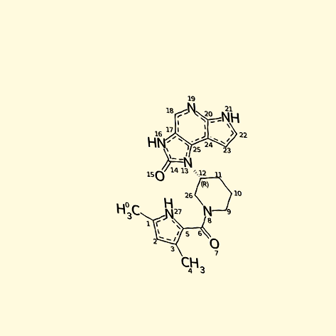 Cc1cc(C)c(C(=O)N2CCC[C@@H](n3c(=O)[nH]c4cnc5[nH]ccc5c43)C2)[nH]1